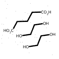 O=C(O)CCCC(=O)O.OCCO.OCCO